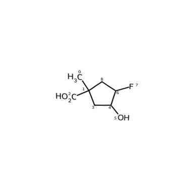 CC1(C(=O)O)CC(O)C(F)C1